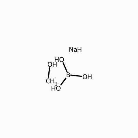 CO.OB(O)O.[NaH]